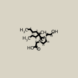 CCCCC(C)(CCC)C1=[N+](CC(=O)O)CCN1CCO